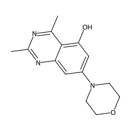 Cc1nc(C)c2c(O)cc(N3CCOCC3)cc2n1